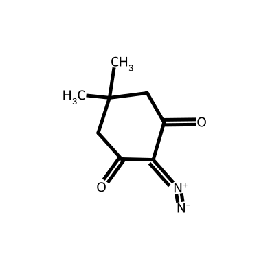 CC1(C)CC(=O)C(=[N+]=[N-])C(=O)C1